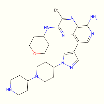 CCc1nc2c(N)ncc(-c3cnn(C4CCN(C5CCNCC5)CC4)c3)c2nc1NC1CCOCC1